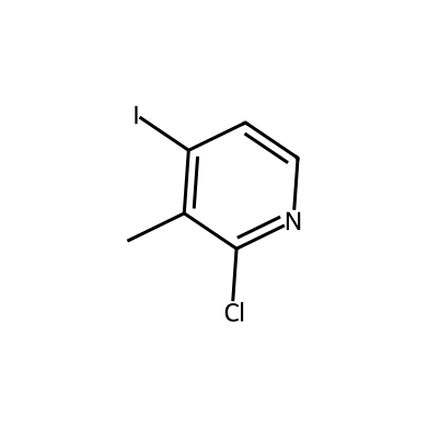 Cc1c(I)ccnc1Cl